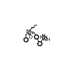 CCC=Cc1nn(Cc2ccccc2)c(=O)n1Cc1ccc(-c2ccccc2-c2nnn[nH]2)cc1